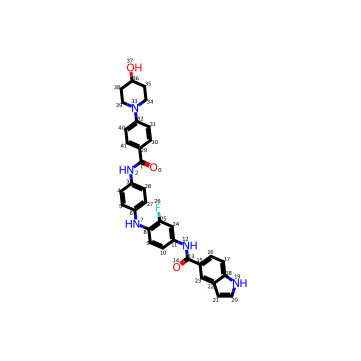 O=C(Nc1ccc(Nc2ccc(NC(=O)c3ccc4[nH]ccc4c3)cc2F)cc1)c1ccc(N2CCC(O)CC2)cc1